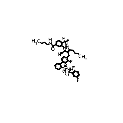 CCCCNC(=O)c1ccc(C(F)(F)F)c(-n2nc(CCCC)c(Cc3ccc(-c4ccccc4S(=O)(=O)NC(=O)c4cc(F)ccc4F)cc3F)c2C#N)c1